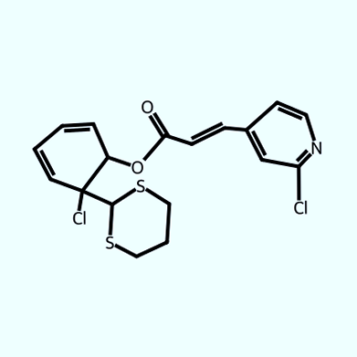 O=C(/C=C/c1ccnc(Cl)c1)OC1C=CC=CC1(Cl)C1SCCCS1